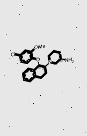 COc1cc(Cl)ccc1O[C@H]1c2ccccc2CC[C@@H]1N1CCC[C@@H](N)C1